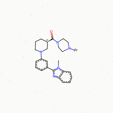 CC(C)N1CCN(C(=O)[C@@H]2CCCN(c3cccc(-c4nc5ccccc5n4C)c3)C2)CC1